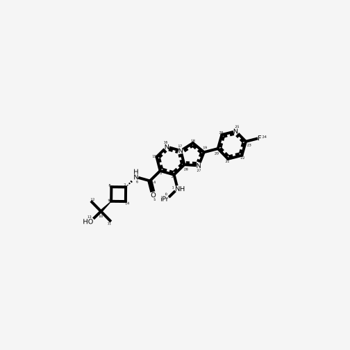 CC(C)Nc1c(C(=O)N[C@H]2C[C@H](C(C)(C)O)C2)cnn2cc(-c3ccc(F)nc3)nc12